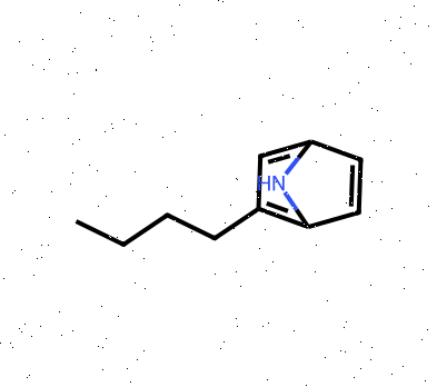 CCCCc1cc2ccc1[nH]2